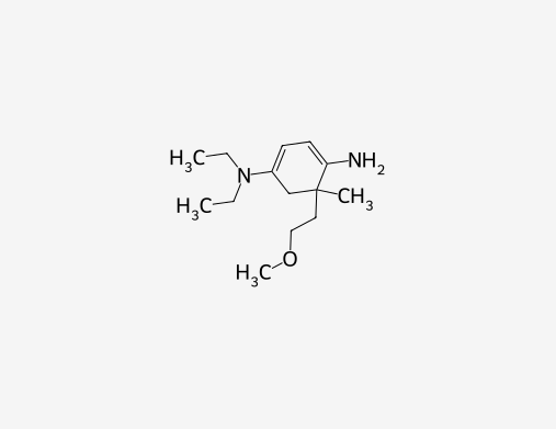 CCN(CC)C1=CC=C(N)C(C)(CCOC)C1